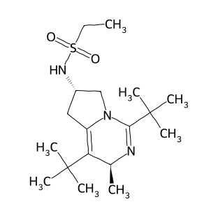 CCS(=O)(=O)N[C@H]1CC2=C(C(C)(C)C)[C@H](C)N=C(C(C)(C)C)N2C1